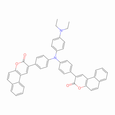 CCN(CC)c1ccc(N(c2ccc(-c3cc4c(ccc5ccccc54)oc3=O)cc2)c2ccc(-c3cc4c(ccc5ccccc54)oc3=O)cc2)cc1